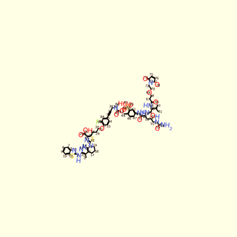 Cc1c(Nc2nc3ccccc3s2)nnc2c1CCCN2c1nc(C(=O)O)c(CCCOc2ccc(C#CCN(C)C(=O)OCc3ccc(NC(=O)[C@H](CCCNC(N)=O)NC(=O)[C@@H](NC(=O)CCOCCN4C(=O)C=CC4=O)C(C)C)cc3S(=O)(=O)O)cc2F)s1